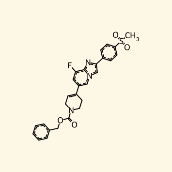 CS(=O)(=O)c1ccc(-c2cn3cc(C4=CCN(C(=O)OCc5ccccc5)CC4)cc(F)c3n2)cc1